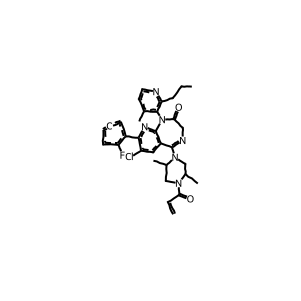 C=CC(=O)N1CC(C)N(C2=NCC(=O)N(c3c(C)ccnc3CCC)c3nc(-c4ccccc4F)c(Cl)cc32)CC1C